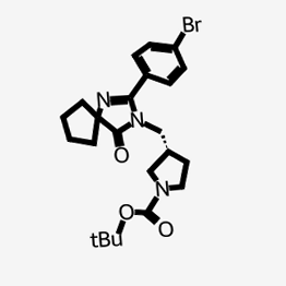 CC(C)(C)OC(=O)N1CC[C@@H](CN2C(=O)C3(CCCC3)N=C2c2ccc(Br)cc2)C1